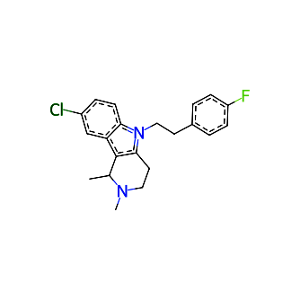 CC1c2c(n(CCc3ccc(F)cc3)c3ccc(Cl)cc23)CCN1C